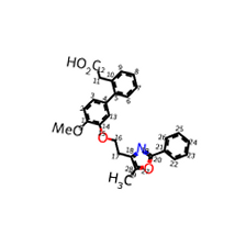 COc1ccc(-c2ccccc2CC(=O)O)cc1OCCc1nc(-c2ccccc2)oc1C